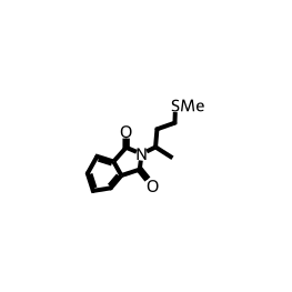 CSCCC(C)N1C(=O)c2ccccc2C1=O